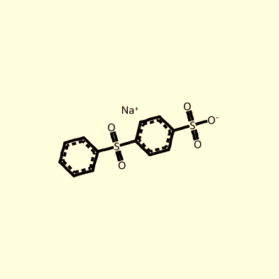 O=S(=O)([O-])c1ccc(S(=O)(=O)c2ccccc2)cc1.[Na+]